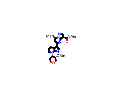 CNC(=O)c1cnn2c(NC)cc(-c3cnc4n([C@@H]5CCOC[C@H]5OC)cccc3-4)nc12